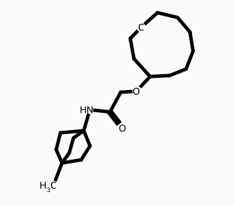 CC12CCC(NC(=O)COC3CCCCCCCCC3)(CC1)CC2